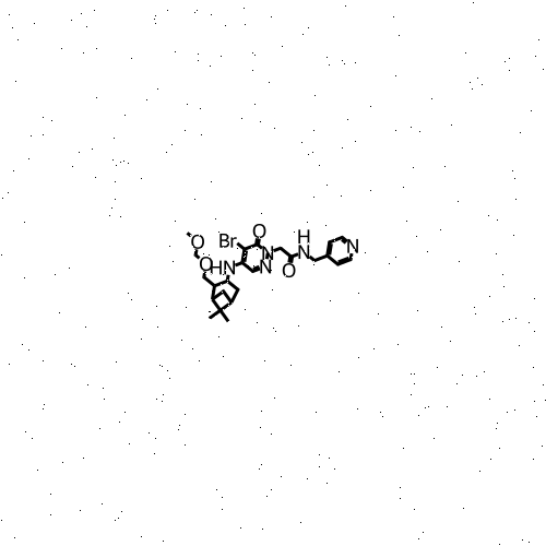 COCOCC1C(Nc2cnn(CC(=O)NCc3ccncc3)c(=O)c2Br)CC2CC1C2(C)C